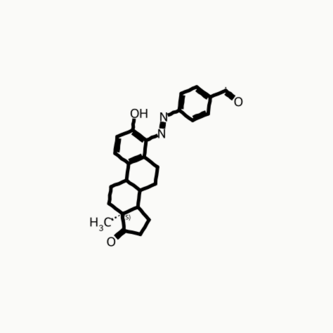 C[C@]12CCC3c4ccc(O)c(N=Nc5ccc([C]=O)cc5)c4CCC3C1CCC2=O